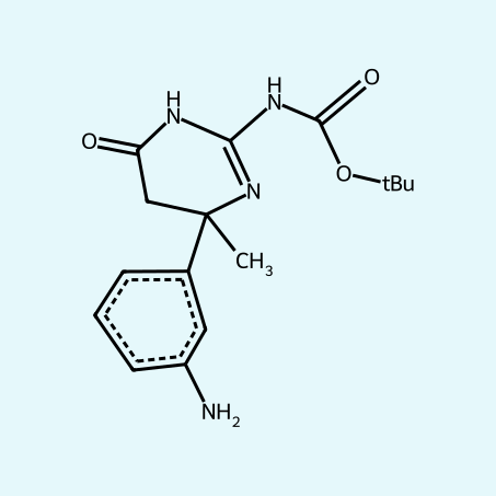 CC(C)(C)OC(=O)NC1=NC(C)(c2cccc(N)c2)CC(=O)N1